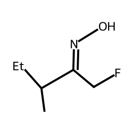 CCC(C)C(CF)=NO